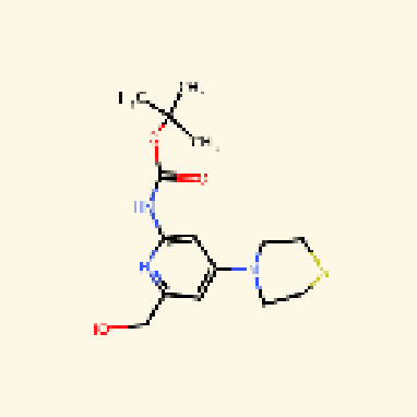 CC(C)(C)OC(=O)Nc1cc(N2CCSCC2)cc(CO)n1